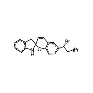 CC(C)CC(Br)c1ccc2c(c1)C=CC1(Cc3ccccc3N1)O2